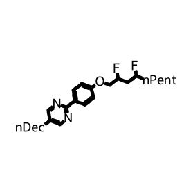 CCCCCCCCCCc1cnc(-c2ccc(OCC(F)CC(F)CCCCC)cc2)nc1